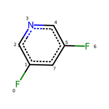 Fc1[c]ncc(F)c1